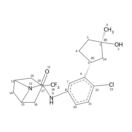 C[C@@]1(O)CC[C@@H](c2cc(NC(=O)N3C4CC3CC(C(F)(F)F)C4)ccc2Cl)C1